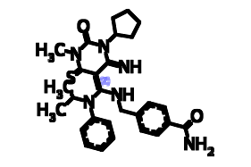 CC(C)N(/C(NCc1ccc(C(N)=O)cc1)=C1/C(=N)N(C2CCCC2)C(=O)N(C)C1=S)c1ccccc1